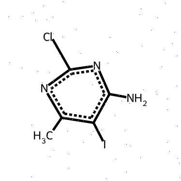 Cc1nc(Cl)nc(N)c1I